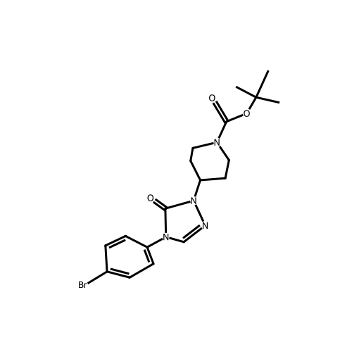 CC(C)(C)OC(=O)N1CCC(n2ncn(-c3ccc(Br)cc3)c2=O)CC1